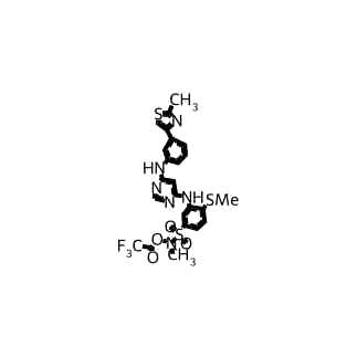 CSc1ccc(S(=O)(=O)N(C)OC(=O)C(F)(F)F)cc1Nc1cc(Nc2cccc(-c3csc(C)n3)c2)ncn1